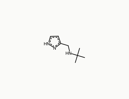 CC(C)(C)NCc1cc[nH]n1